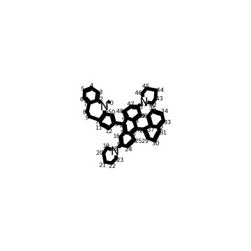 CN1c2ccccc2CCc2ccc(-c3c4cc(N5CCCCC5)ccc4c(-c4cccc5ccccc45)c4cc(N5CCCCC5)ccc34)cc21